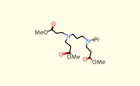 COC(=O)CCN(CCCN(CCC(=O)OC)C(C)C)CCC(=O)OC